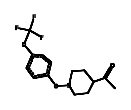 CC(=O)C1CCN(Oc2ccc(OC(F)(F)F)cc2)CC1